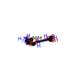 COc1cccc(Nc2c(C(N)=O)cnc3c(C)cc(S(=O)(=O)c4cccc(COC(=O)NCCCCCCNCC(O)c5ccc(O)c6[nH]c(=O)ccc56)c4)cc23)c1